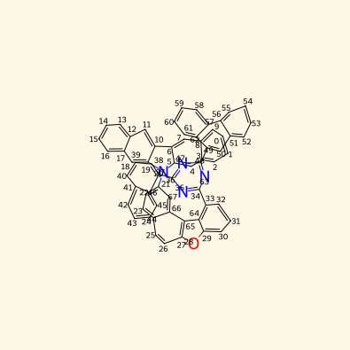 c1ccc2cc3c(cc2c1)c1cc2ccccc2cc1n3-c1ccc2ccc3oc4cccc(-c5nc(-c6cccc7ccccc67)nc(-c6cc7ccccc7c7ccccc67)n5)c4c3c2c1